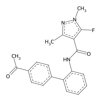 CC(=O)c1ccc(-c2ccccc2NC(=O)c2c(C)nn(C)c2F)cc1